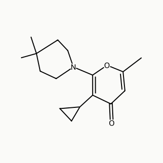 Cc1cc(=O)c(C2CC2)c(N2CCC(C)(C)CC2)o1